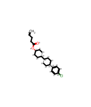 C=CCCC(=O)O[C@H]1CC[C@H]([C@H]2CC[C@H](c3ccc(Cl)cc3)CC2)CC1